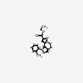 CCOC(=O)c1cc2n(n1)CCc1cnn(-c3ccccc3C)c1-2